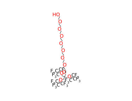 OCCOCCOCCOCCOCCOCCOCCOCCOCC(COC(C(F)(F)F)(C(F)(F)F)C(F)(F)F)(COC(C(F)(F)F)(C(F)(F)F)C(F)(F)F)COC(C(F)(F)F)(C(F)(F)F)C(F)(F)F